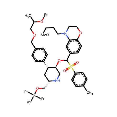 CCOC(C)COCc1ccc([C@H]2C[C@@H](CO[Si](C(C)C)(C(C)C)C(C)C)NC[C@@H]2OC(c2ccc3c(c2)N(CCCOC)CCO3)S(=O)(=O)c2ccc(C)cc2)cc1